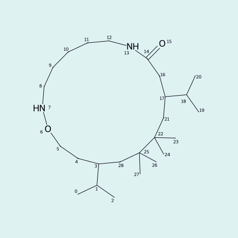 CC(C)C1CCONCCCCCNC(=O)CC(C(C)C)CC(C)(C)C(C)(C)C1